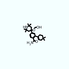 CC1(C)CC=C(c2cc(C3(OCO)CC(C)(C)NC(C)(C)C3)ccc2C(N)=O)CC1